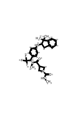 CNC(=O)N1CC(C(=O)N(C)[C@@H](c2ccc(NC3Cc4ccccc4C3(C)C)cc2)C(F)(F)F)C1